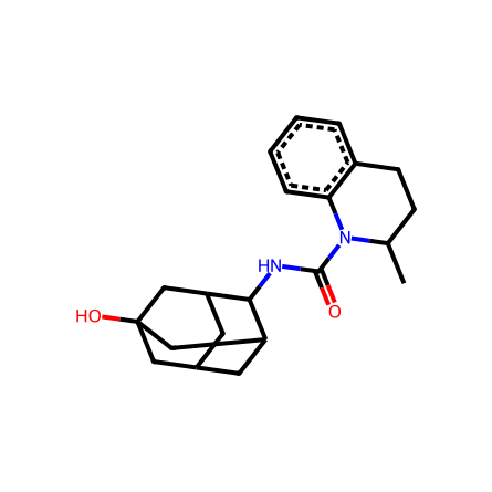 CC1CCc2ccccc2N1C(=O)NC1C2CC3CC1CC(O)(C3)C2